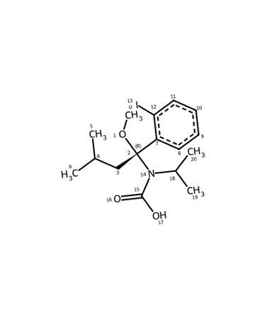 CO[C@](CC(C)C)(c1ccccc1I)N(C(=O)O)C(C)C